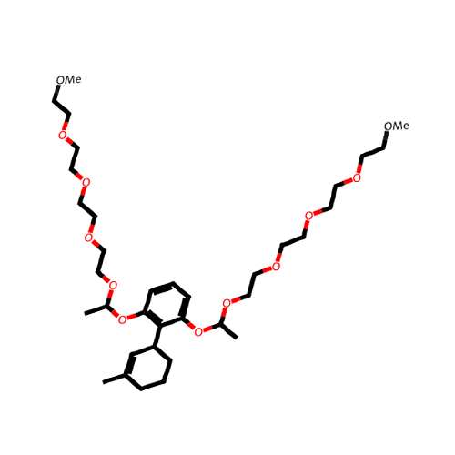 COCCOCCOCCOCCOC(C)Oc1cccc(OC(C)OCCOCCOCCOCCOC)c1C1C=C(C)CCC1